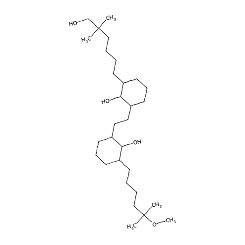 COC(C)(C)CCCCC1CCCC(CCC2CCCC(CCCCC(C)(C)CO)C2O)C1O